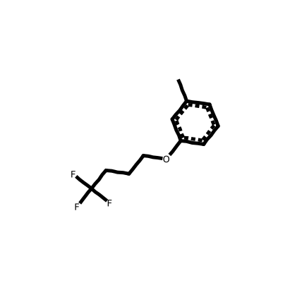 Cc1cccc(OCCCC(F)(F)F)c1